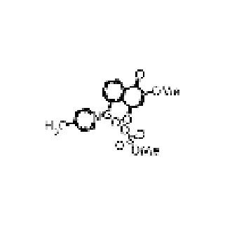 COC1=CC(=O)c2c(cccc2[S+]([O-])[n+]2ccc(C)cc2)C1=O.COS(=O)(=O)[O-]